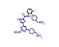 CNc1nc(-c2c[nH]c(C(=O)Nc3cccc(F)c3N3CCC(CN)CC3)n2)cc(N2CCC(CN)CC2)n1